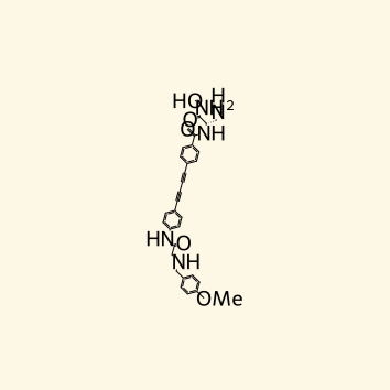 COc1ccc(CNCC(=O)Nc2ccc(C#CC#Cc3ccc(C(=O)N[C@@H](CN)C(=O)NO)cc3)cc2)cc1